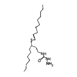 CCCCCCCCCCSC(CCCCCCC)CCNC(=O)NN